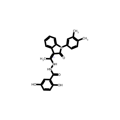 C/C(NNC(=O)c1cc(O)ccc1O)=C1/C(=O)N(c2ccc(C)c(C)c2)c2ccccc21